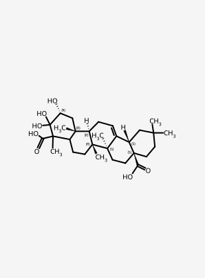 CC1(C)CC[C@]2(C(=O)O)CC[C@]3(C)C(=CC[C@@H]4[C@@]5(C)C[C@@H](O)C(O)(O)C(C)(C(=O)O)C5CC[C@]43C)[C@@H]2C1